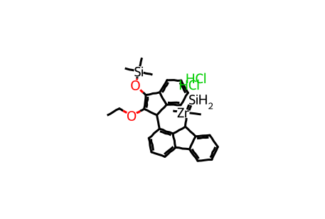 CCOC1=C(O[Si](C)(C)C)c2ccccc2C1c1cccc2c1[CH]([Zr]([CH3])([CH3])=[SiH2])c1ccccc1-2.Cl.Cl